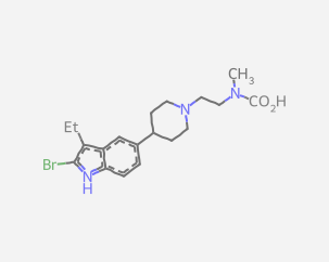 CCc1c(Br)[nH]c2ccc(C3CCN(CCN(C)C(=O)O)CC3)cc12